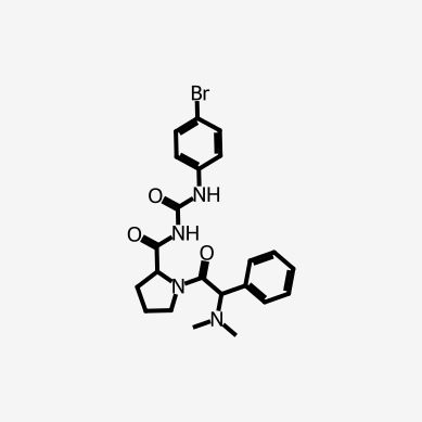 CN(C)C(C(=O)N1CCCC1C(=O)NC(=O)Nc1ccc(Br)cc1)c1ccccc1